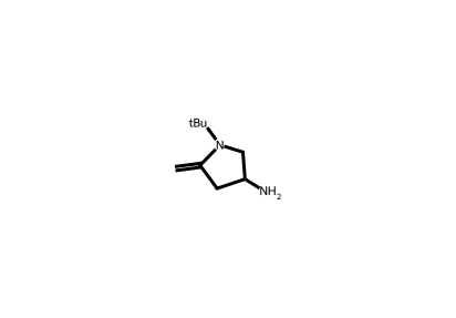 C=C1CC(N)CN1C(C)(C)C